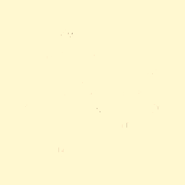 CCCc1c(C(=O)C(C)C)c2ccc(C(=O)OC)cc2n1Cc1ccccc1Br